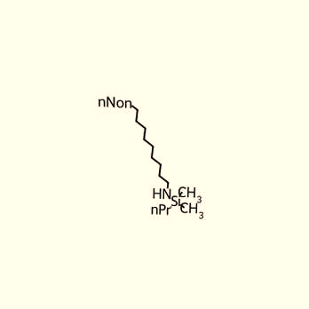 CCCCCCCCCCCCCCCCCCN[Si](C)(C)CCC